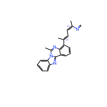 C=N/C(C)=C\C=C(/C)c1cccc2c1nc(C)n1c3ccccc3nc21